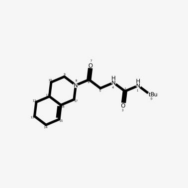 CC(C)(C)NC(=O)NCC(=O)N1CCC2CCCC=C2C1